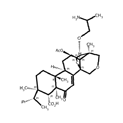 CC(=O)O[C@@H]1C[C@]23COC[C@@](C)([C@@H]2CC[C@H]2C3=CC(=O)[C@@]3(C)[C@H](C(=O)O)[C@@](C)([C@H](C)C(C)C)CC[C@]23C)[C@H]1OCC(C)N